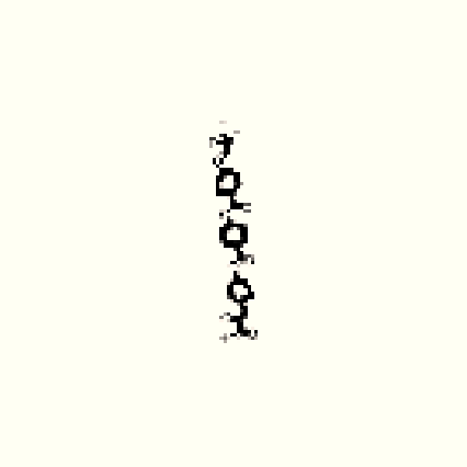 O=C(O)C(=O)Cc1ccc(OC(=O)c2ccc(OC(=O)c3ccc(OCC(F)(F)F)cc3)cc2)cc1